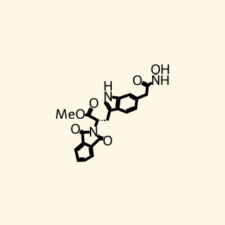 COC(=O)[C@H](Cc1c[nH]c2cc(CC(=O)NO)ccc12)N1C(=O)c2ccccc2C1=O